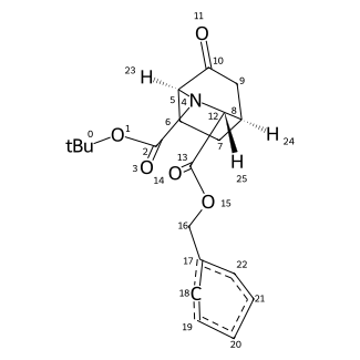 CC(C)(C)OC(=O)N1[C@H]2CC[C@H](CC2=O)[C@@H]1C(=O)OCc1ccccc1